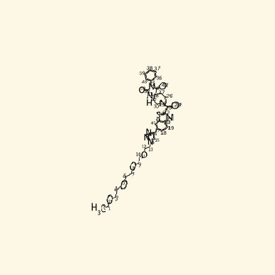 CCOCCOCCOCCOCCn1cc(-c2ccc3nc(C(=O)N4CCC5(CC4)NC(=O)N(c4ccccc4)C5=O)sc3c2)nn1